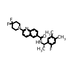 Cc1cc(F)c([C@@H](C)NC(=O)c2ccc3nc(N4CCC(F)(F)CC4)ccc3c2)cc1C